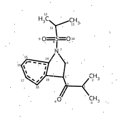 CC(C)C(=O)C1CN(S(=O)(=O)C(C)C)c2ccccc21